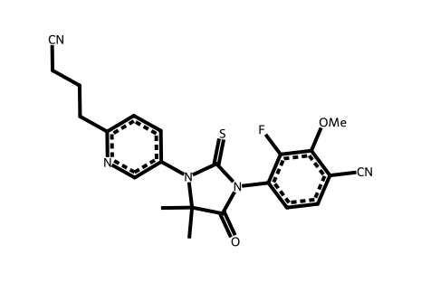 COc1c(C#N)ccc(N2C(=O)C(C)(C)N(c3ccc(CCCC#N)nc3)C2=S)c1F